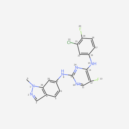 Cn1ncc2ccc(Nc3ncc(F)c(Nc4ccc(F)c(Cl)c4)n3)cc21